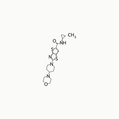 C[C@H]1C[C@@H]1NC(=O)c1cc2sc(N3CCC(N4CCOCC4)CC3)nc2s1